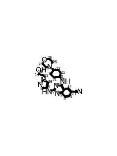 N#Cc1ccc2nc(Nc3cnn(CCO)c3)nc(NC3CCC(N4CCOCC4)CC3)c2c1